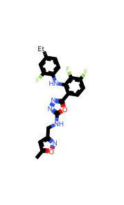 CCc1ccc(Nc2c(-c3nnc(NCc4cc(C)on4)o3)ccc(F)c2F)c(F)c1